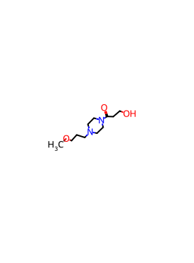 COCCCN1CCN(C(=O)CCO)CC1